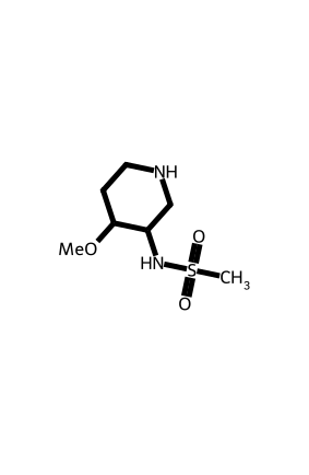 COC1CCNCC1NS(C)(=O)=O